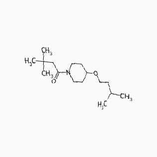 CC(C)CCOC1CCN(C(=O)CC(C)(C)C)CC1